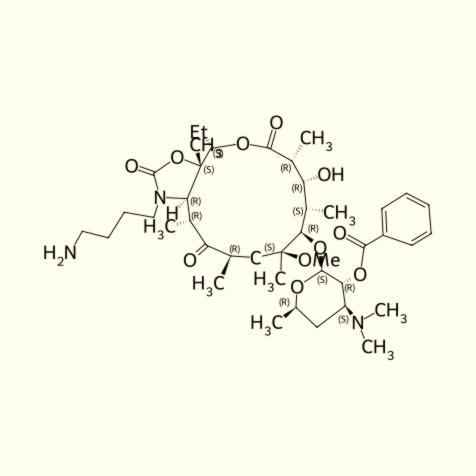 CC[C@@H]1OC(=O)[C@H](C)[C@H](O)[C@H](C)[C@@H](O[C@@H]2O[C@H](C)C[C@H](N(C)C)[C@H]2OC(=O)c2ccccc2)[C@@](C)(OC)C[C@@H](C)C(=O)[C@H](C)[C@H]2N(CCCCN)C(=O)O[C@]12C